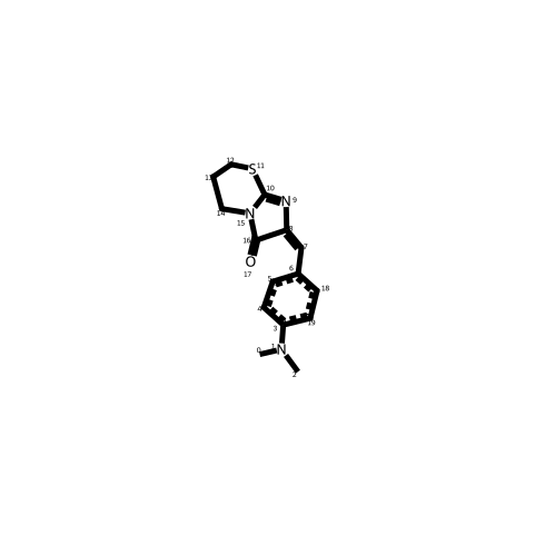 CN(C)c1ccc(C=C2N=C3SCCCN3C2=O)cc1